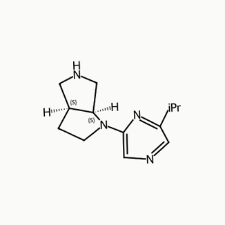 CC(C)c1cncc(N2CC[C@H]3CNC[C@H]32)n1